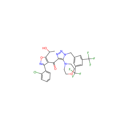 CC(O)c1onc(-c2ccccc2Cl)c1C(=O)c1nnn(Cc2cc(C(F)(F)F)cc(C(F)(F)F)c2)c1N1CCOCC1